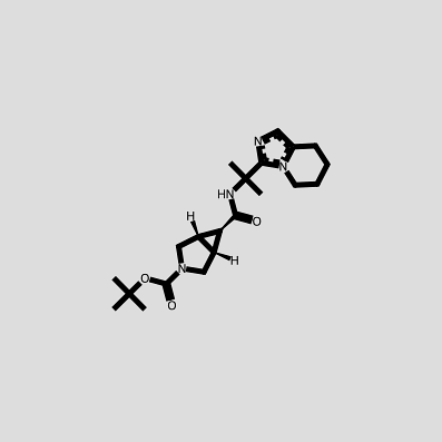 CC(C)(C)OC(=O)N1C[C@@H]2[C@H](C1)[C@H]2C(=O)NC(C)(C)c1ncc2n1CCCC2